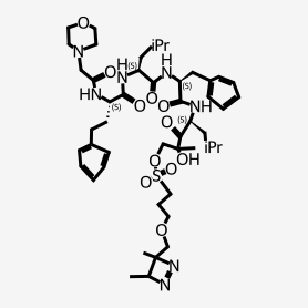 CC(C)C[C@H](NC(=O)[C@H](CCc1ccccc1)NC(=O)CN1CCOCC1)C(=O)N[C@@H](Cc1ccccc1)C(=O)N[C@@H](CC(C)C)C(=O)C(C)(O)COS(=O)(=O)CCCOCC1(C)N=NC1C